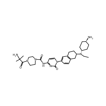 CCN(C1CCc2cc(-n3ccc(NC(=O)N4CCN(C(=O)C(C)(C)N)CC4)nc3=O)ccc2C1)[C@H]1CC[C@H](N)CC1